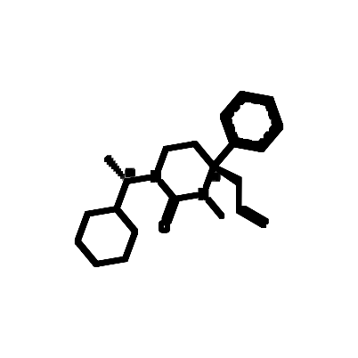 C=CC[C@]1(c2ccccc2)CCN([C@@H](C)C2CCCCC2)C(=O)N1C